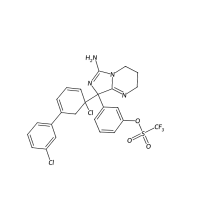 NC1=NC(c2cccc(OS(=O)(=O)C(F)(F)F)c2)(C2(Cl)C=CC=C(c3cccc(Cl)c3)C2)C2=NCCCN12